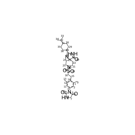 Cc1cc(N2C(=O)CNC2=O)cc(C)c1CCS(=O)(=O)N1CCC2(CC1)N=C(C1CCC(C(C)C)CC1)NC2=O